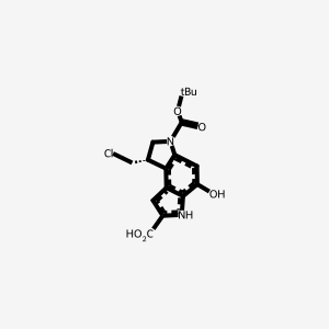 CC(C)(C)OC(=O)N1C[C@@H](CCl)c2c1cc(O)c1[nH]c(C(=O)O)cc21